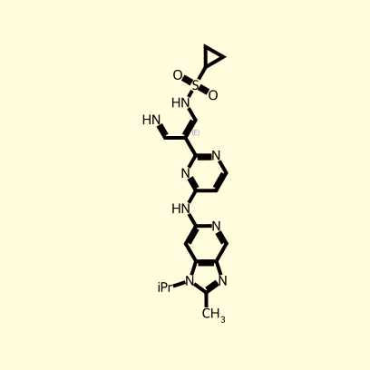 Cc1nc2cnc(Nc3ccnc(/C(C=N)=C/NS(=O)(=O)C4CC4)n3)cc2n1C(C)C